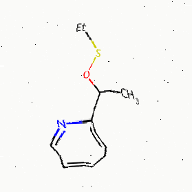 CCSOC(C)c1ccccn1